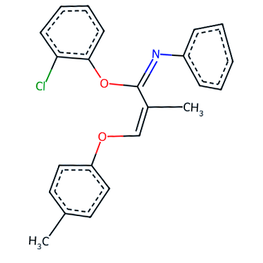 CC(=COc1ccc(C)cc1)/C(=N\c1ccccc1)Oc1ccccc1Cl